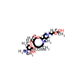 CO[C@]1(C)C[C@@H](C)CN(C)C(C2CCN(CCCOC(C)(C)O)CC2)COC(=O)C(C)(C)C(=O)C[C@H]1O[C@@H]1O[C@H](C)C[C@H](N(C)C)[C@H]1O